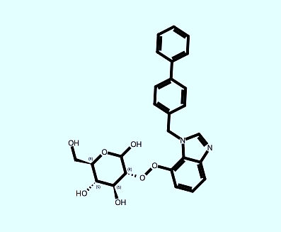 OC[C@H]1OC(O)[C@H](OOc2cccc3ncn(Cc4ccc(-c5ccccc5)cc4)c23)[C@@H](O)[C@@H]1O